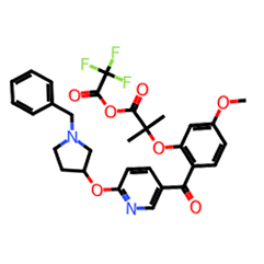 COc1ccc(C(=O)c2ccc(OC3CCN(Cc4ccccc4)C3)nc2)c(OC(C)(C)C(=O)OC(=O)C(F)(F)F)c1